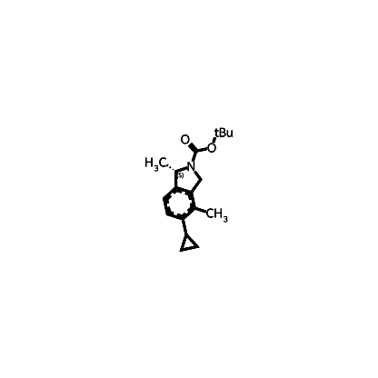 Cc1c(C2CC2)ccc2c1CN(C(=O)OC(C)(C)C)[C@H]2C